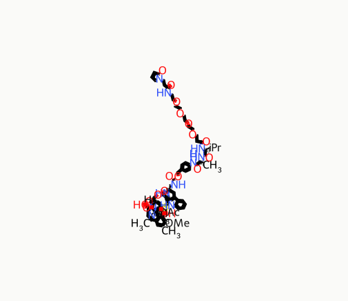 COc1c(C)cc2c(c1O)[C@H]1C3[C@@H]4SC[C@]5(N[C@@H](CNC(=O)OCc6ccc(NC(=O)[C@H](C)NC(=O)[C@@H](NC(=O)CCOCCOCCOCCOCCNC(=O)CCN7CC=CC7=O)C(C)C)cc6)Cc6c5[nH]c5ccccc65)C(=O)OC[C@@H](c5c6c(c(C)c(OC(C)=O)c54)OCO6)N3C3(O)CN1C2(C)C3